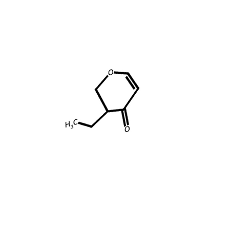 CCC1COC=CC1=O